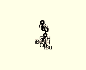 CC[C@@H](C)[C@@H](NC(=O)OC(C)(C)C)C(=O)Nc1ccc(-c2ccnc3c2ccn3S(=O)(=O)c2ccccc2)cc1